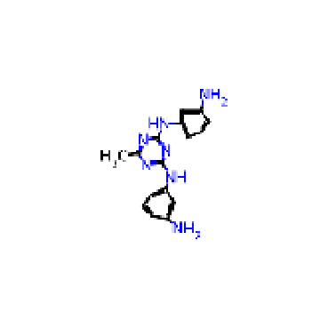 Cc1nc(Nc2cccc(N)c2)nc(Nc2cccc(N)c2)n1